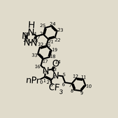 CCCc1c(C(F)(F)F)n(CCc2ccccc2)c(=O)n1Cc1ccc(-c2ccccc2-c2nnn[nH]2)cc1